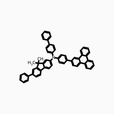 CC1(C)c2cc(-c3ccccc3)ccc2-c2ccc(N(c3ccc(-c4ccccc4)cc3)c3ccc(-c4ccc5c6ccccc6c6ccccc6c5c4)cc3)cc21